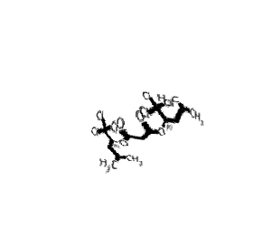 CC(C)=C[C@@H](OC(=O)CC(=O)O[C@H](C=C(C)C)C(Cl)(Cl)Cl)C(Cl)(Cl)Cl